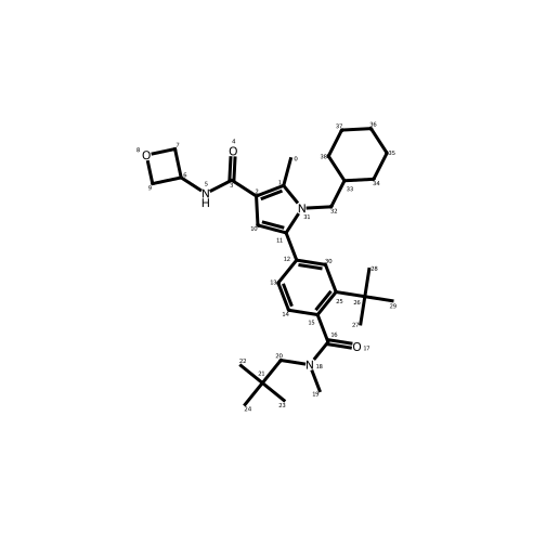 Cc1c(C(=O)NC2COC2)cc(-c2ccc(C(=O)N(C)CC(C)(C)C)c(C(C)(C)C)c2)n1CC1CCCCC1